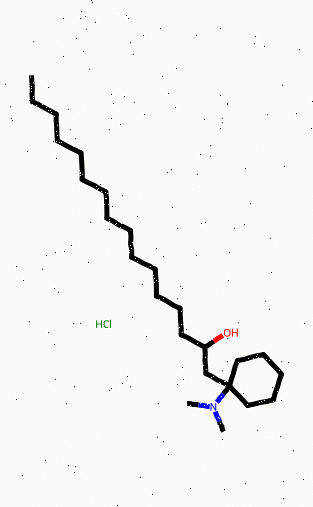 CCCCCCCCCCCCCCC(O)CC1(N(C)C)CCCCC1.Cl